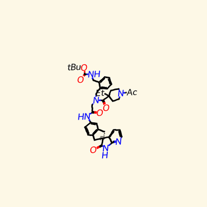 CCC1(C(=O)N(CC(=O)Nc2ccc3c(c2)C[C@@]2(C3)C(=O)Nc3ncccc32)Cc2ccccc2CNC(=O)OC(C)(C)C)CCN(C(C)=O)CC1